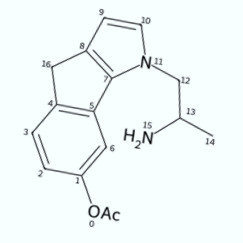 CC(=O)Oc1ccc2c(c1)-c1c(ccn1CC(C)N)C2